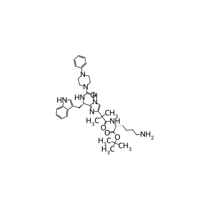 CC(C)(C)OC(=O)[C@@H](CCCCN)NC(=O)C(C)(C)c1c[nH]c([C@@H](Cc2c[nH]c3ccccc23)NC(=O)N2CCN(c3ccccc3)CC2)n1